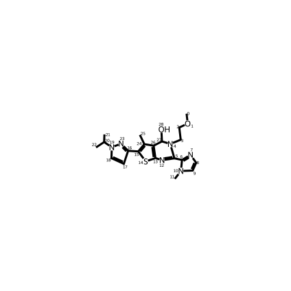 COCCN1C(c2nccn2C)=Nc2sc(-c3ccn(C(C)C)n3)c(C)c2C1O